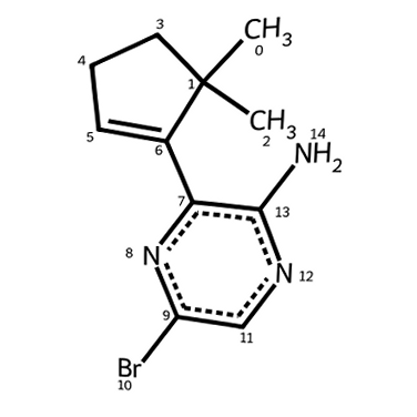 CC1(C)CCC=C1c1nc(Br)cnc1N